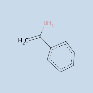 BC(=C)c1ccccc1